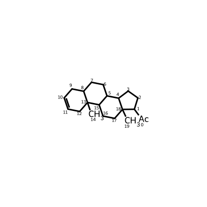 CC(=O)C1CCC2C3CCC4CC=CCC4(C)C3CCC12C